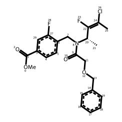 COC(=O)c1ccc(CN(C(=O)COCc2ccccc2)[C@@H](C)/C(F)=C(\C)Cl)c(F)c1